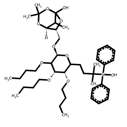 CCCCOC1[C@@H](OC[C@H]2OC3(O)OC(C)(C)O[C@H]2C3C)OC(CCC(C)(C)[Si](O)(c2ccccc2)c2ccccc2)[C@H](OCCCC)[C@@H]1OCCCC